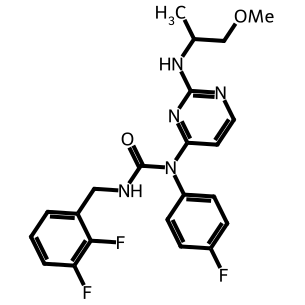 COCC(C)Nc1nccc(N(C(=O)NCc2cccc(F)c2F)c2ccc(F)cc2)n1